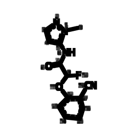 Cn1nccc1NC(=O)C(F)Oc1ccccc1C#N